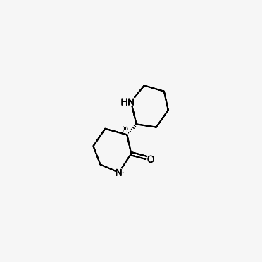 O=C1[N]CCC[C@@H]1C1CCCCN1